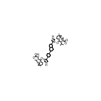 COC(=O)N[C@H](C(=O)N1[C@H](c2nc(-c3ccc4cc(-c5ccc(-c6c[nH]c([C@@H]7C[C@@]8(C)C[C@H]8N7C(=O)[C@H](C(C)C)N(C)C(=O)O)n6)cc5)ccc4c3)c[nH]2)C[C@]2(C)C[C@@H]12)C(C)C